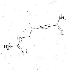 N=C(N)NCCC#CC(N)=O